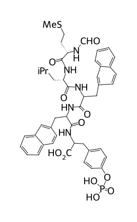 CSCC[C@H](NC=O)C(=O)N[C@@H](CC(C)C)C(=O)NC(Cc1ccc2ccccc2c1)C(=O)NC(Cc1ccc2ccccc2c1)C(=O)NC(Cc1ccc(OP(=O)(O)O)cc1)C(=O)O